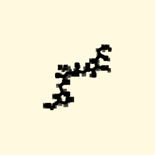 C[C@H](NC(=O)CN)C(=O)NCC(=O)N[C@@H](C)C(=O)NCC(=O)N[C@@H](CO)C(=O)O